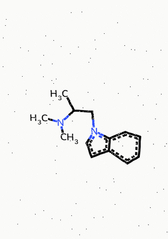 CC(Cn1ccc2ccccc21)N(C)C